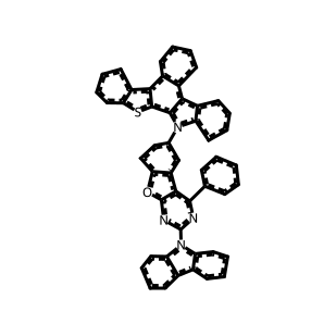 c1ccc(-c2nc(-n3c4ccccc4c4ccccc43)nc3oc4ccc(-n5c6ccccc6c6c7ccccc7c7c8ccccc8sc7c65)cc4c23)cc1